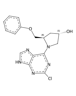 O[C@H]1C[C@H](COc2ccccc2)N(c2nc(Cl)nc3[nH]cnc23)C1